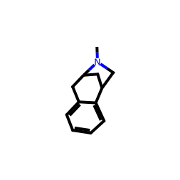 CN1CC2CC1Cc1ccccc12